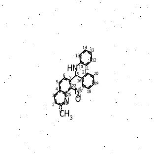 Cc1ccc2ccc(C(Nc3ccccc3)c3ccccc3)c(N=O)c2n1